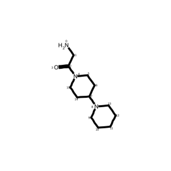 NCC(=O)N1CCC(N2CCCCC2)CC1